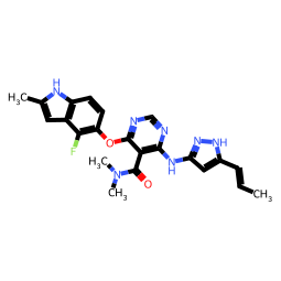 C/C=C/c1cc(Nc2ncnc(Oc3ccc4[nH]c(C)cc4c3F)c2C(=O)N(C)C)n[nH]1